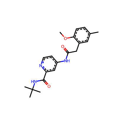 COc1ccc(C)cc1CC(=O)Nc1ccnc(C(=O)NC(C)(C)C)c1